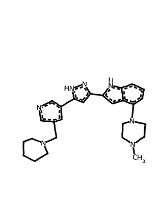 CN1CCN(c2cccc3[nH]c(-c4cc(-c5cncc(CN6CCCCC6)c5)[nH]n4)cc23)CC1